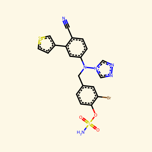 N#Cc1ccc(N(Cc2ccc(OS(N)(=O)=O)c(Br)c2)n2cnnc2)cc1-c1ccsc1